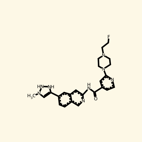 CN1C=C(c2ccc3cnc(NC(=O)c4ccnc(N5CCN(CCF)CC5)c4)cc3c2)NN1